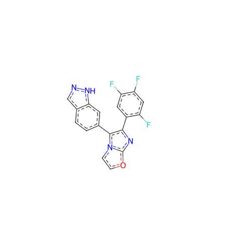 Fc1cc(F)c(-c2nc3occn3c2-c2ccc3cn[nH]c3c2)cc1F